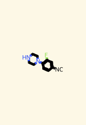 [C-]#[N+]c1ccc(N2CCNCC2)c(F)c1